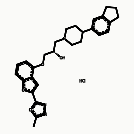 Cc1nnc(-c2cc3c(OC[C@@H](O)CN4CCC(c5ccc6c(c5)CCC6)CC4)cccc3o2)o1.Cl